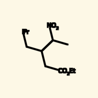 CCOC(=O)CC(CC(C)C)C(C)[N+](=O)[O-]